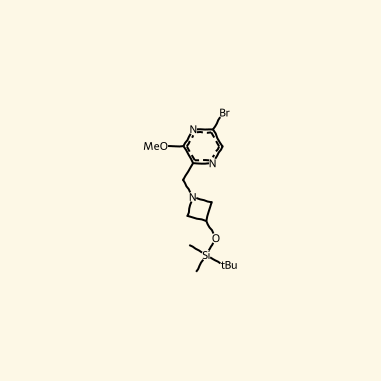 COc1nc(Br)cnc1CN1CC(O[Si](C)(C)C(C)(C)C)C1